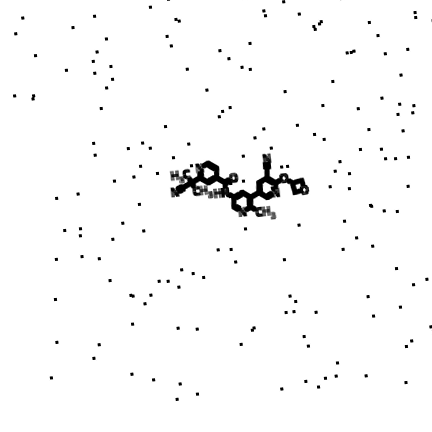 Cc1ncc(NC(=O)c2ccnc(C(C)(C)C#N)c2)cc1-c1cnc(OC2COC2)c(C#N)c1